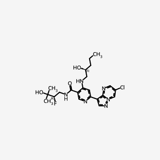 CCC[C@H](O)CNc1cc(-c2cnn3cc(Cl)cnc23)ncc1C(=O)NC[C@@H](F)C(C)(C)O